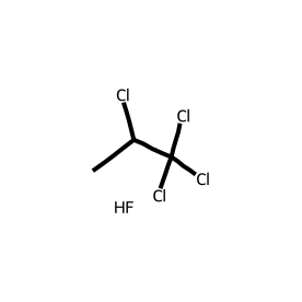 CC(Cl)C(Cl)(Cl)Cl.F